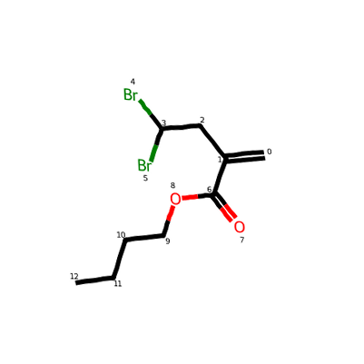 C=C(CC(Br)Br)C(=O)OCCCC